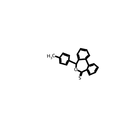 Cc1ccc(C2OC(=S)c3ccccc3-c3ccccc32)cc1